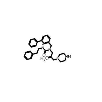 C=C(CN1CCNCC1)CN(Cc1cccc(-c2ccccc2)c1)C(=O)NCCc1ccccc1